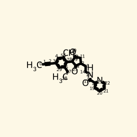 CC#Cc1cc(C)c(C2C(=O)CC(CCNC(=O)c3ccccn3)C2=O)c(CC)c1